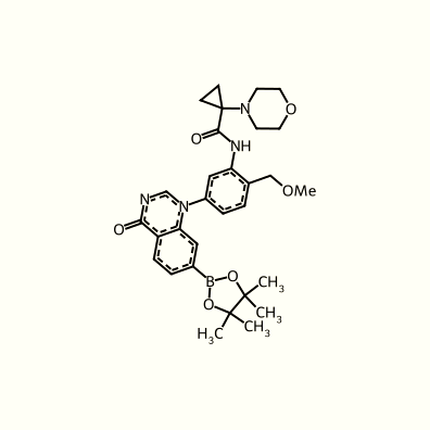 COCc1ccc(-n2cnc(=O)c3ccc(B4OC(C)(C)C(C)(C)O4)cc32)cc1NC(=O)C1(N2CCOCC2)CC1